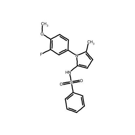 COc1ccc(-n2c(C)ccc2NS(=O)(=O)c2ccccc2)cc1F